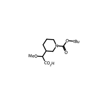 COC(C(=O)O)C1CCCN(C(=O)OC(C)(C)C)C1